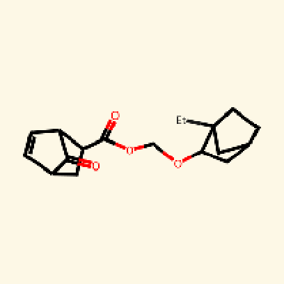 CCC12CCC(CC1OCOC(=O)C1CC3C=CC1C3=O)C2